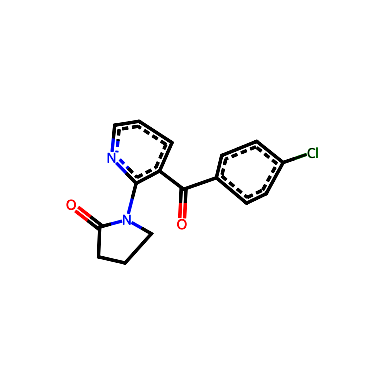 O=C(c1ccc(Cl)cc1)c1cccnc1N1CCCC1=O